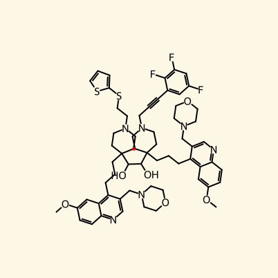 COc1ccc2ncc(CN3CCOCC3)c(CCCC3(C(O)C(O)C4(CCCc5c(CN6CCOCC6)cnc6ccc(OC)cc56)CCN(CCSc5cccs5)CC4)CCN(CC#Cc4cc(F)cc(F)c4F)CC3)c2c1